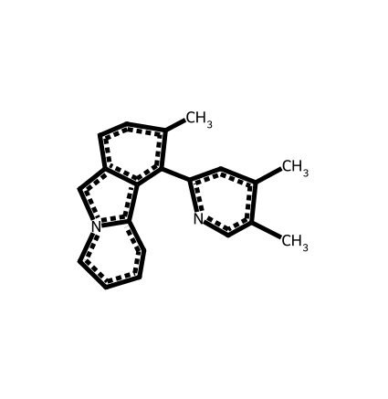 Cc1cnc(-c2c(C)ccc3cn4ccccc4c23)cc1C